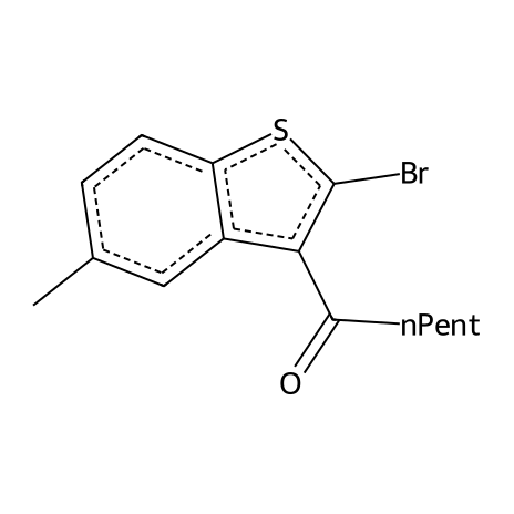 CCCCCC(=O)c1c(Br)sc2ccc(C)cc12